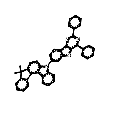 CC1(C)c2ccccc2-c2c1ccc1c2c2ccccc2n1-c1ccc2c(c1)oc1c(-c3ccccc3)nc(-c3ccccc3)nc12